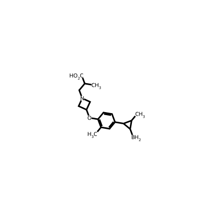 BC1C(C)C1c1ccc(OC2CN(CC(C)C(=O)O)C2)c(C)c1